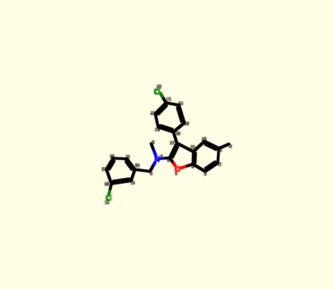 Cc1ccc2oc(N(C)Cc3cccc(Cl)c3)c(-c3ccc(Cl)cc3)c2c1